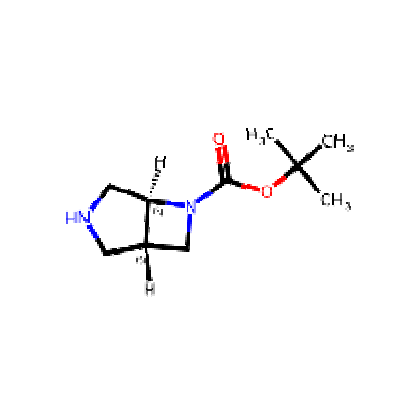 CC(C)(C)OC(=O)N1C[C@@H]2CNC[C@H]21